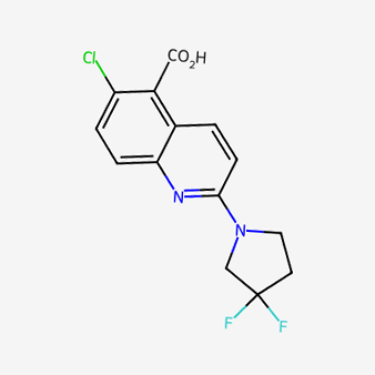 O=C(O)c1c(Cl)ccc2nc(N3CCC(F)(F)C3)ccc12